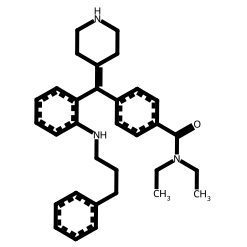 CCN(CC)C(=O)c1ccc(C(=C2CCNCC2)c2ccccc2NCCCc2ccccc2)cc1